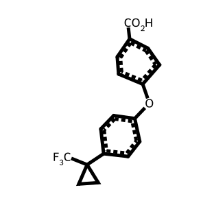 O=C(O)c1ccc(Oc2ccc(C3(C(F)(F)F)CC3)cc2)cc1